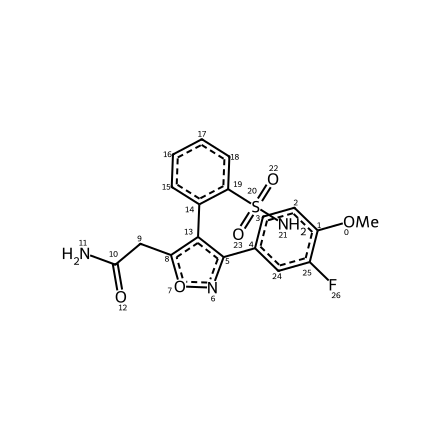 COc1ccc(-c2noc(CC(N)=O)c2-c2ccccc2S(N)(=O)=O)cc1F